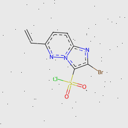 C=Cc1ccc2nc(Br)c(S(=O)(=O)Cl)n2n1